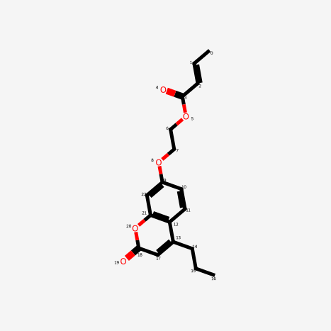 CC=CC(=O)OCCOc1ccc2c(CCC)cc(=O)oc2c1